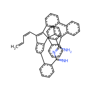 C=C/C=C\C1=C2c3cccc4c3c3c(c5ccccc54)-c4ccccc4C23c2cc(-c3ccccc3C(=N)/N=C(\N)c3ccccc3)ccc21